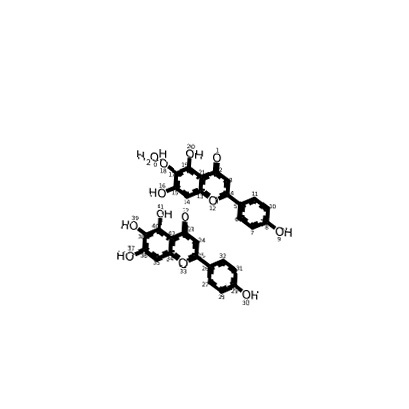 O.O=c1cc(-c2ccc(O)cc2)oc2cc(O)c(O)c(O)c12.O=c1cc(-c2ccc(O)cc2)oc2cc(O)c(O)c(O)c12